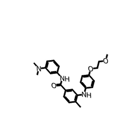 COCCOc1ccc(Nc2cc(C(=O)Nc3cccc(N(C)C)c3)ccc2C)cc1